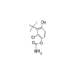 CC(C)(C)c1c(O)ccc(OC(N)=O)c1Cl